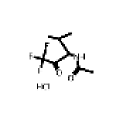 CC(=O)NC(C(=O)C(F)(F)F)C(C)C.Cl